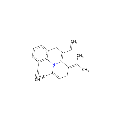 C#Cc1cccc2c1N1C(C)=CCC(=C(C)C)C1=C(C=C)C2